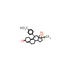 CC12C[C@H](c3ccc(C(=O)O)cc3)C3=C4CCC(=O)C=C4CCC3C1CC[C@@]2(O)C(F)(F)C(F)(F)F